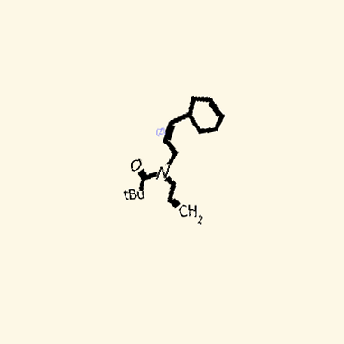 C=CCN(C/C=C\C1CC=CCC1)C(=O)C(C)(C)C